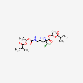 CC(OC(=O)NCCCC(N)(C(=O)OC(C)OC(=O)C(C)C)C(F)F)OC(=O)C(C)C